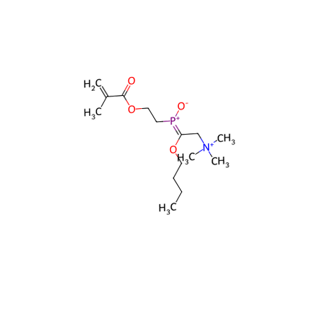 C=C(C)C(=O)OCC[P+]([O-])=C(C[N+](C)(C)C)OCCCC